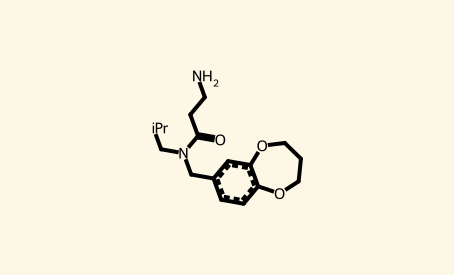 CC(C)CN(Cc1ccc2c(c1)OCCCO2)C(=O)CCN